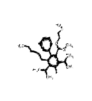 CCCCCc1c(-c2ccccc2)c(C(OC)OCCOC)c(C(C)C)c(F)c1C(C)C